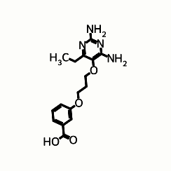 CCc1nc(N)nc(N)c1OCCCOc1cccc(C(=O)O)c1